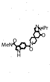 CNC(=O)c1c[nH]c2cc(C(=O)N3CCC4(CC3)CC(=O)c3c(cnn3C(C)C)C4)ccc12